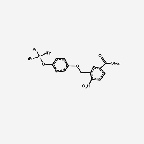 COC(=O)c1ccc([N+](=O)[O-])c(COc2ccc(O[Si](C(C)C)(C(C)C)C(C)C)cc2)c1